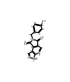 O=C1c2cnc3[nH]ncc3c2C(=O)N1Cc1ccc(F)cc1